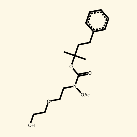 CC(=O)ON(CCOCCO)C(=O)OC(C)(C)CCc1ccccc1